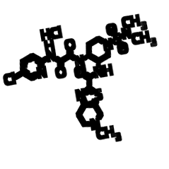 CN1CCc2nc(C(=O)N[C@@H]3CN(S(=O)(=O)N(C)C)CC[C@@H]3NC(=O)C(=O)Nc3ccc(Cl)cn3)sc2C1.Cl